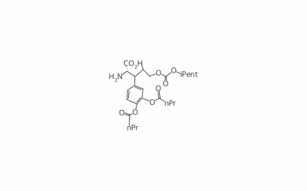 CCCC(=O)Oc1ccc(C(C(C)COC(=O)OC(C)CCC)[C@H](N)C(=O)O)cc1OC(=O)CCC